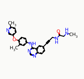 CNCC(=O)NCC#Cc1ccc2ncnc(Nc3ccc(Oc4ccc(C)nc4)c(C)c3)c2c1